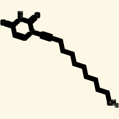 CCCCCCCCCCC#Cn1ccc(=O)[nH]c1=O